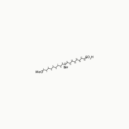 COCCCCCCCCCCCCCCCCCCS(=O)(=O)O.[Na]